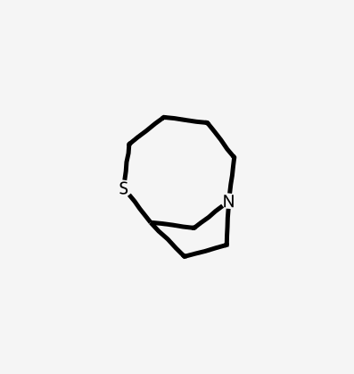 C1CCN2CCC(C2)SC1